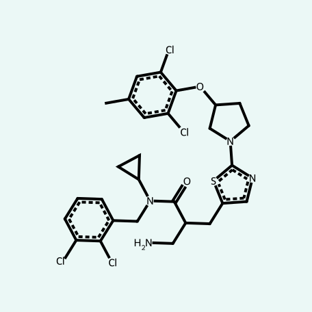 Cc1cc(Cl)c(OC2CCN(c3ncc(CC(CN)C(=O)N(Cc4cccc(Cl)c4Cl)C4CC4)s3)C2)c(Cl)c1